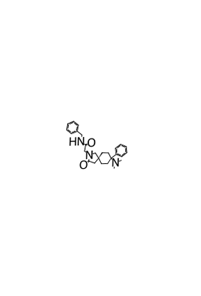 CN(C)[C@]1(c2ccccc2)CC[C@@]2(CC1)CC(=O)N(CC(=O)NCc1ccccc1)C2